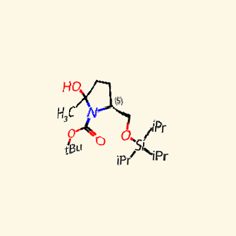 CC(C)[Si](OC[C@@H]1CCC(C)(O)N1C(=O)OC(C)(C)C)(C(C)C)C(C)C